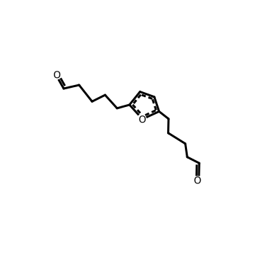 O=CCCCCc1ccc(CCCCC=O)o1